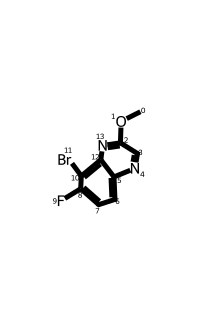 COc1cnc2ccc(F)c(Br)c2n1